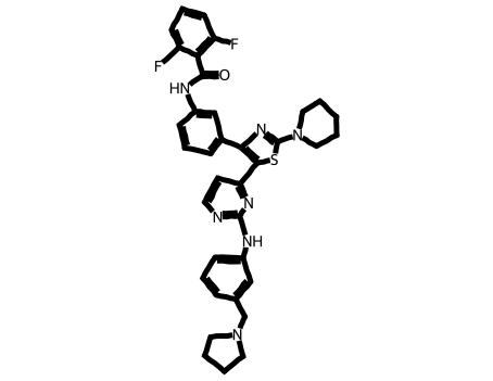 O=C(Nc1cccc(-c2nc(N3CCCCC3)sc2-c2ccnc(Nc3cccc(CN4CCCC4)c3)n2)c1)c1c(F)cccc1F